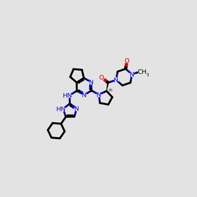 CN1CCN(C(=O)[C@H]2CCCN2c2nc3c(c(Nc4ncc(C5CCCCC5)[nH]4)n2)CCC3)CC1=O